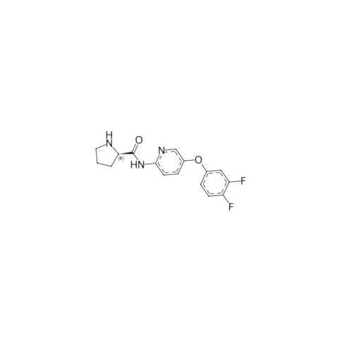 O=C(Nc1ccc(Oc2ccc(F)c(F)c2)cn1)[C@H]1CCCN1